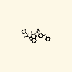 Cc1cc(Oc2ccccc2)ccc1N1C(=O)Nc2c(C(=O)NC3CCCS3)sc3nccc1c23